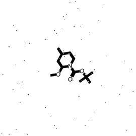 COC1CC(C)CCN1C(=O)OC(C)(C)C